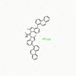 CC1=Cc2c(-c3cccc4c3ccc3ccccc34)cccc2[CH]1[Zr]([CH]1C(C)=Cc2c(-c3cccc4c3ccc3ccccc34)cccc21)[SiH](C)C.Cl.Cl